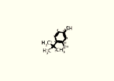 CC(C)(C)c1ccc(S)cc1F